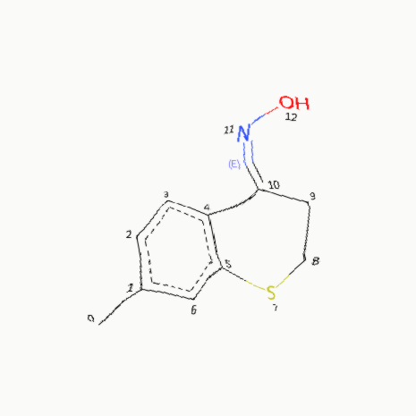 Cc1ccc2c(c1)SCC/C2=N\O